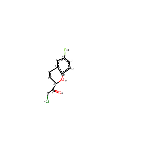 O=C(CCl)[C@H]1C=Cc2cc(F)ccc2O1